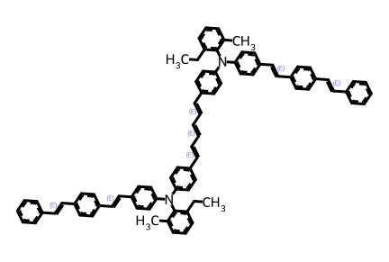 CCc1cccc(C)c1N(c1ccc(/C=C/C=C/C=C/c2ccc(N(c3ccc(/C=C/c4ccc(/C=C/c5ccccc5)cc4)cc3)c3c(C)cccc3CC)cc2)cc1)c1ccc(/C=C/c2ccc(/C=C/c3ccccc3)cc2)cc1